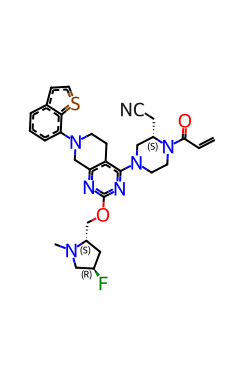 C=CC(=O)N1CCN(c2nc(OC[C@@H]3C[C@@H](F)CN3C)nc3c2CCN(c2cccc4ccsc24)C3)C[C@@H]1CC#N